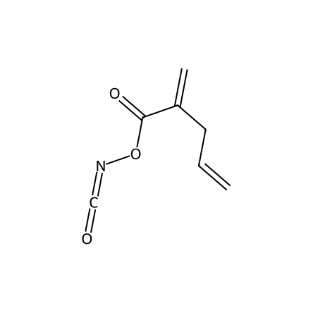 C=CCC(=C)C(=O)ON=C=O